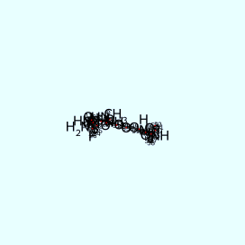 CC(=O)NC(CSc1nc2c(=O)[nH]c(N)nc2n1Cc1ccc(F)cc1)C(=O)NCCCOCCOCCOCCCNC(=O)C(=O)c1c(-c2ccccc2)[nH]c2ccccc12